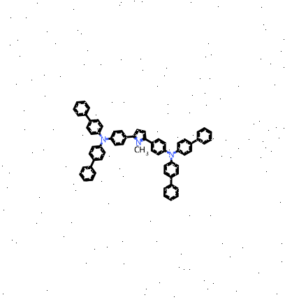 Cn1c(-c2ccc(N(c3ccc(-c4ccccc4)cc3)c3ccc(-c4ccccc4)cc3)cc2)ccc1-c1ccc(N(c2ccc(-c3ccccc3)cc2)c2ccc(-c3ccccc3)cc2)cc1